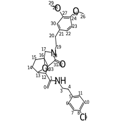 C=C(NCCc1ccc(Cl)cc1)C1C2CCC3(CN(CCc4ccc(OC)c(OC)c4)C(=O)C13)O2